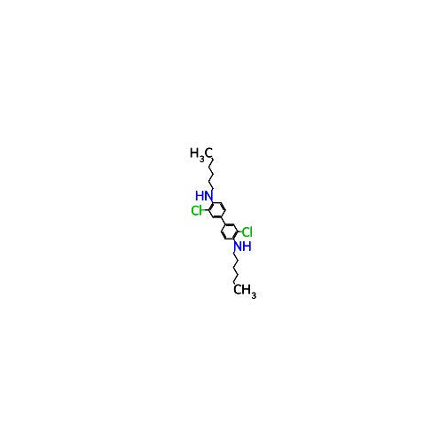 CCCCCCNc1ccc(-c2ccc(NCCCCCC)c(Cl)c2)cc1Cl